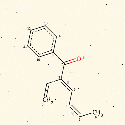 C=C/C(=C\C=C/C)C(=O)c1ccccc1